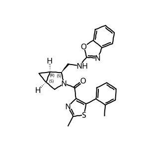 Cc1nc(C(=O)N2C[C@H]3C[C@H]3[C@H]2CNc2nc3ccccc3o2)c(-c2ccccc2C)s1